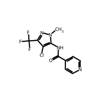 Cn1nc(C(F)(F)F)c(Cl)c1NC(=O)c1ccncc1